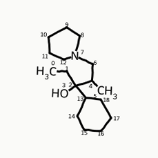 CCC(O)(C(C)CN1CCCCC1)C1CCCCC1